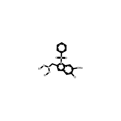 CCOP(Cc1cc2cc(Cl)c(OC)cc2n1S(=O)(=O)c1ccccc1)OCC